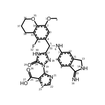 COc1cc([C@H](Nc2ccc3c(c2)CNC3=N)c2nn(-c3ncsc3C(=O)O)c(=O)[nH]2)c(F)c2c1OCCC2